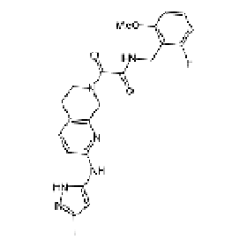 COc1cccc(F)c1CNC(=O)C(=O)N1CCc2ccc(Nc3cc(C)n[nH]3)nc2C1